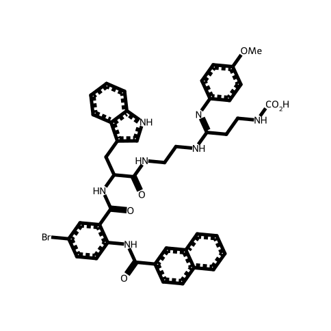 COc1ccc(N=C(CCNC(=O)O)NCCNC(=O)C(Cc2c[nH]c3ccccc23)NC(=O)c2cc(Br)ccc2NC(=O)c2ccc3ccccc3c2)cc1